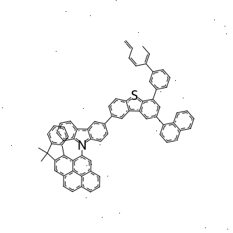 C=C/C=C\C(=C/C)c1cccc(-c2cc(-c3cccc4ccccc34)cc3c2sc2ccc(-c4ccc5c(c4)c4ccccc4n5-c4cc5cccc6ccc7cc8c(c4c7c65)-c4ccccc4C8(C)C)cc23)c1